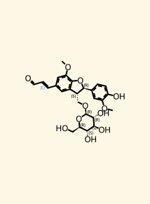 COc1cc([C@@H]2Oc3c(OC)cc(/C=C/C=O)cc3[C@H]2CO[C@@H]2O[C@H](CO)[C@@H](O)[C@H](O)[C@H]2O)ccc1O